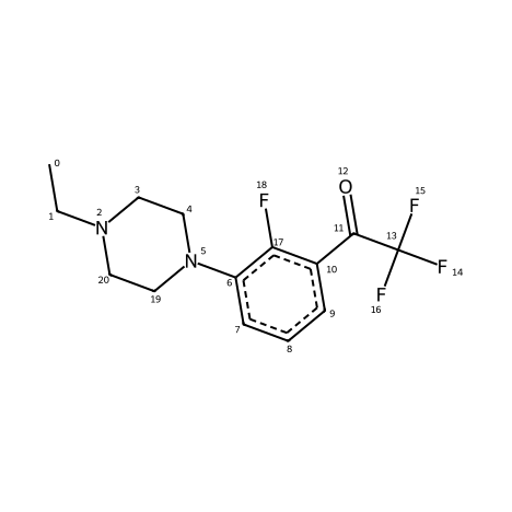 CCN1CCN(c2cccc(C(=O)C(F)(F)F)c2F)CC1